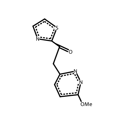 COc1ccc(CC(=O)c2nccs2)nn1